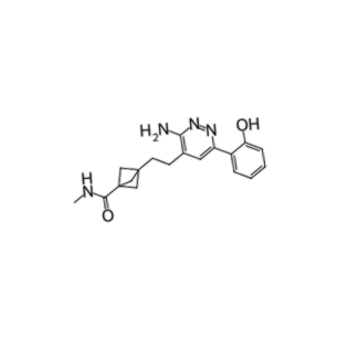 CNC(=O)C12CC(CCc3cc(-c4ccccc4O)nnc3N)(C1)C2